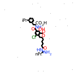 CCCC(N)NC(=O)CCCCC1Cc2c(Cl)cc(C(=O)NC(Cc3cccc(C(C)C)c3)C(=O)O)c(O)c2C(=O)O1